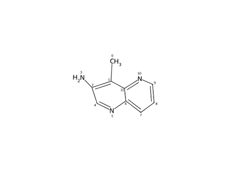 Cc1c(N)cnc2cccnc12